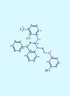 CC(C)c1cccc(OCCCN(Cc2cccc(C(F)(F)F)c2Cl)CC(c2ccccc2)c2ccccc2)c1